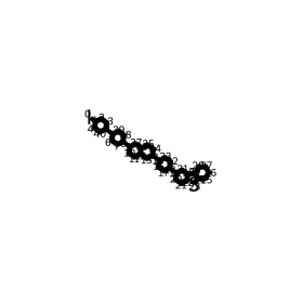 Ic1ccc(-c2ccc(-c3ccc4cc(-c5ccc(-c6ccc7sc8ccccc8c7c6)cc5)ccc4c3)cc2)cc1